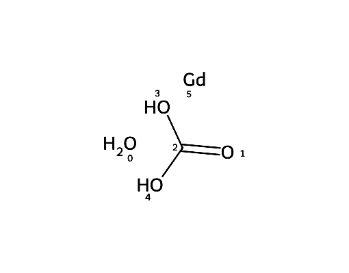 O.O=C(O)O.[Gd]